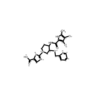 Cc1[nH]c(C(=O)NC2CCN(c3ncc(C(=O)O)s3)CC2OCc2ccccn2)c(Cl)c1Cl